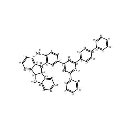 N#Cc1ccc(-c2nc(-c3ccccc3)nc(-c3ccc(-c4ccccc4)cc3)n2)cc1N1c2ccccc2C2Oc3ccccc3C21